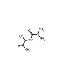 CC(=O)[C@@H](C)NC(=O)N(C)N